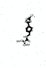 CON(OC)C(=O)NCc1ccc(-c2noc(C(F)(F)F)n2)cc1